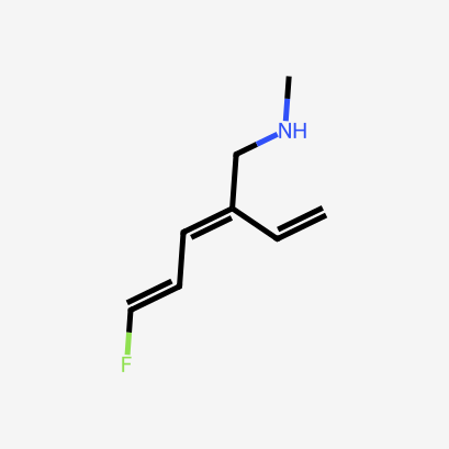 C=C/C(=C\C=C\F)CNC